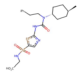 CC(C)CCN(C(=O)Nc1ncc(S(=O)(=O)NCC(=O)O)s1)[C@H]1CC[C@H](C)CC1